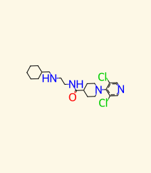 O=C(NCCNCC1CCCCC1)C1CCN(c2c(Cl)cncc2Cl)CC1